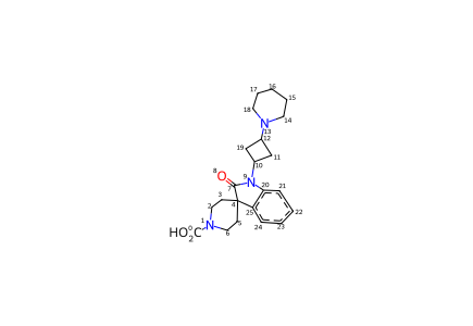 O=C(O)N1CCC2(CC1)C(=O)N(C1CC(N3CCCCC3)C1)c1ccccc12